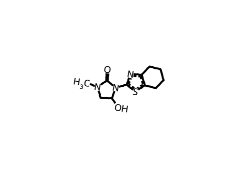 CN1CC(O)N(c2nc3c(s2)CCCC3)C1=O